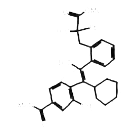 CCC(C)(Cc1ccccc1/C(C)=C(/c1ccc(C(=O)OC)cc1C)C1CCCCC1)C(=O)OC